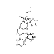 C=C(CCCC)N(Cc1ccc(-c2ccccc2-c2nn[nH]n2)cc1)C(=O)C1(N)CCCC1